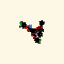 O=C(COc1ccc(Cl)c(F)c1)NC12CCC(NC(=O)COc3ccc(Cl)c(F)c3)(CC1)C(CCOP(=O)(OCc1ccccc1)OCc1ccccc1)(OC(=O)O)C2